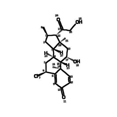 C[C@@H]1C[C@H]2[C@@H]3C[C@H](Cl)C4=CC(=O)C=C[C@]4(C)[C@H]3[C@@H](O)C[C@]2(C)[C@H]1C(=O)CO